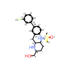 C[SH](C)(=O)NC1CCC(CO)NC1Cc1cccc(-c2cccc(F)c2)c1